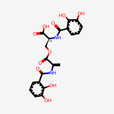 C=C(NC(=O)c1cccc(O)c1O)C(=O)OC[C@H](NC(=O)c1cccc(O)c1O)C(=O)O